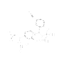 CC1(C)Oc2ccc(C#N)cc2C(n2ccc(C(O[N+](=O)[O-])O[N+](=O)[O-])cc2=O)C1O